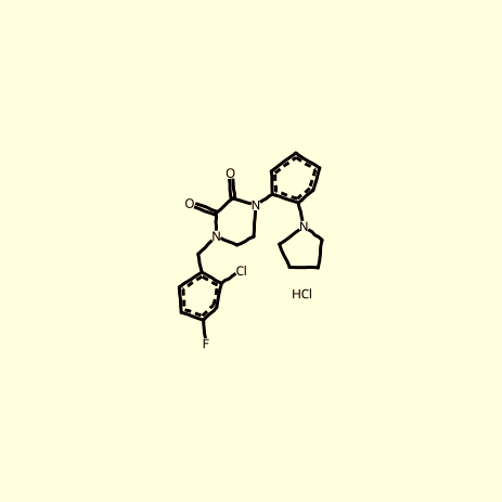 Cl.O=C1C(=O)N(c2ccccc2N2CCCC2)CCN1Cc1ccc(F)cc1Cl